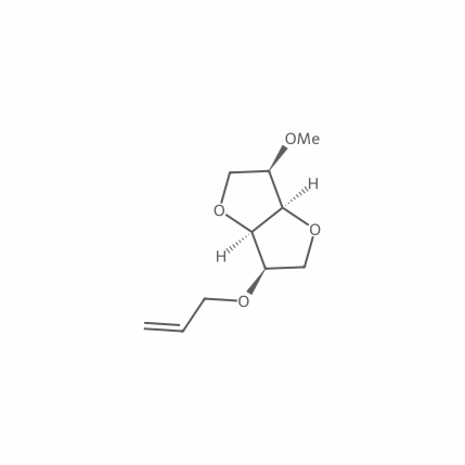 C=CCO[C@@H]1CO[C@H]2[C@@H]1OC[C@H]2OC